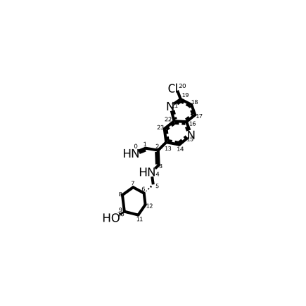 N=C/C(=C\NC[C@H]1CC[C@H](O)CC1)c1cnc2ccc(Cl)nc2c1